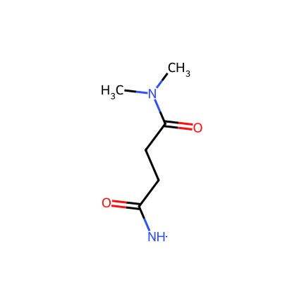 CN(C)C(=O)CCC([NH])=O